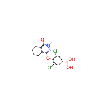 Cn1nc(Oc2c(Cl)cc(B(O)O)cc2Cl)c2c(c1=O)CCCC2